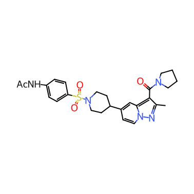 CC(=O)Nc1ccc(S(=O)(=O)N2CCC(c3ccn4nc(C)c(C(=O)N5CCCC5)c4c3)CC2)cc1